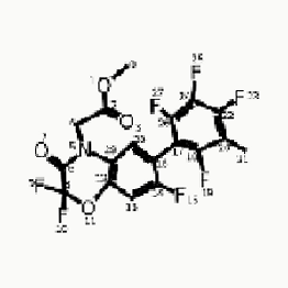 COC(=O)CN1C(=O)C(F)(F)Oc2cc(F)c(-c3c(F)c(C)c(F)c(F)c3F)cc21